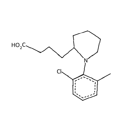 Cc1cccc(Cl)c1N1CCCCC1CCCC(=O)O